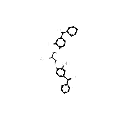 CC(=O)OC(COc1ccc(C(=O)c2ccccc2)cc1O)COc1ccc(C(=O)c2ccccc2)cc1O